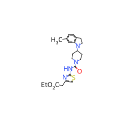 CCOC(=O)Cc1csc(NC(=O)N2CCC(N3CCc4ccc(C)cc43)CC2)n1